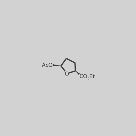 CCOC(=O)[C@@H]1CC[C@H](OC(C)=O)O1